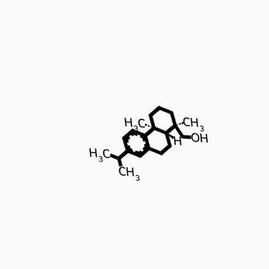 CC(C)c1ccc2c(c1)CC[C@H]1[C@](C)(CO)CCC[C@]21C